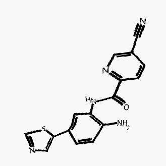 N#Cc1ccc(C(=O)Nc2cc(-c3cncs3)ccc2N)nc1